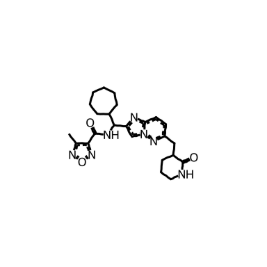 Cc1nonc1C(=O)NC(c1cn2nc(CC3CCCNC3=O)ccc2n1)C1CCCCCC1